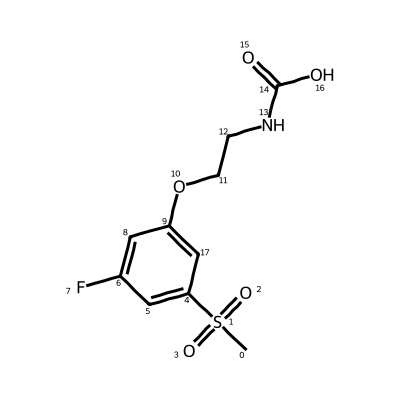 CS(=O)(=O)c1cc(F)cc(OCCNC(=O)O)c1